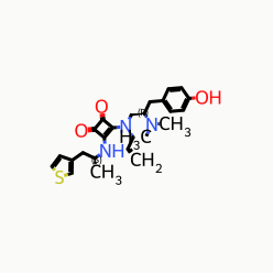 C=CCN(C[C@@H](Cc1ccc(O)cc1)N(C)C)c1c(N[C@@H](C)Cc2ccsc2)c(=O)c1=O